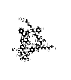 CC[C@H](C)[C@@H]([C@@H](CC(=O)N1CCC[C@H]1[C@H](OC)[C@@H](C)C(=O)N[C@@H](Cc1ccccc1)c1nccs1)OC)N(C)C(=O)[C@@H](NC(=O)[C@H](C(C)C)N(C)C(=O)OCc1ccc(NC(=O)[C@H](CCCNC(N)=O)NC(=O)[C@@H](NC(=O)CCC(=O)N(CCOCCOCCC(=O)O)C2CCNCC2)C(C)C)cc1)C(C)C